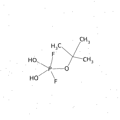 CC(C)(C)OP(O)(O)(F)F